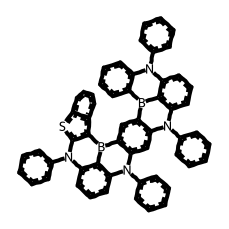 c1ccc(N2c3ccccc3B3c4cc5c(cc4N(c4ccccc4)c4cccc2c43)N(c2ccccc2)c2cccc3c2B5c2c(sc4ccccc24)N3c2ccccc2)cc1